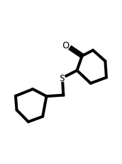 O=C1CCCCC1SCC1CCCCC1